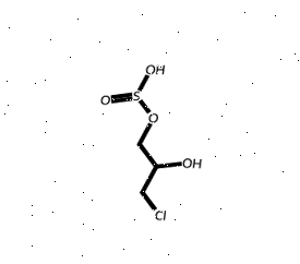 O=S(O)OCC(O)CCl